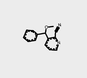 COC(c1ccccc1)c1cccnc1C#N